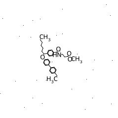 CCCCCCC(Oc1ccc(-c2ccc(CC)cc2)cc1)c1ccc(C(=O)NCCC(=O)OC)cc1